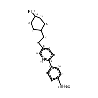 CCCCCCc1ccc(-c2ccc(CCC3CCC(CC)CC3)cn2)cc1